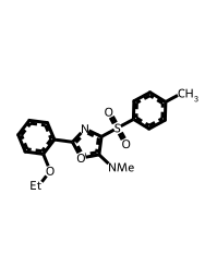 CCOc1ccccc1-c1nc(S(=O)(=O)c2ccc(C)cc2)c(NC)o1